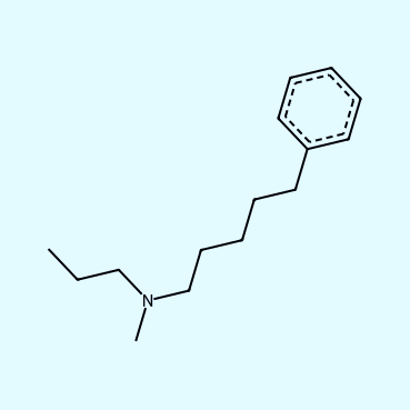 CCCN(C)CCCCCc1ccccc1